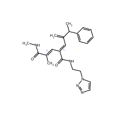 C=C(/C=C(\C=C(/C)C(=O)NC)C(=O)NCCn1ccnn1)C(C)c1ccccc1